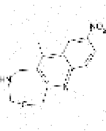 Cc1c2c(nc3ccc([N+](=O)[O-])cc13)CCCNC2